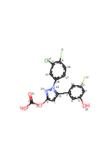 O=C(O)Oc1cc(-c2cc(O)cc(F)c2)n(-c2ccc(F)c(Cl)c2)n1